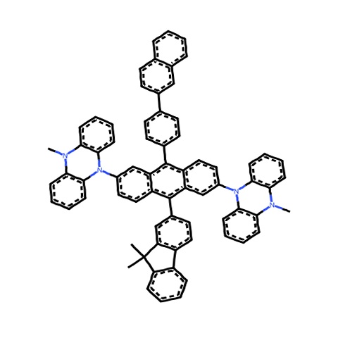 CN1c2ccccc2N(c2ccc3c(-c4ccc5c(c4)C(C)(C)c4ccccc4-5)c4cc(N5c6ccccc6N(C)c6ccccc65)ccc4c(-c4ccc(-c5ccc6ccccc6c5)cc4)c3c2)c2ccccc21